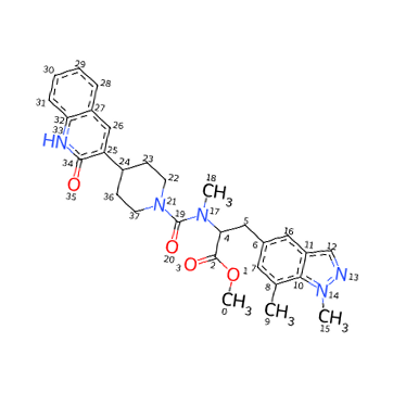 COC(=O)C(Cc1cc(C)c2c(cnn2C)c1)N(C)C(=O)N1CCC(c2cc3ccccc3[nH]c2=O)CC1